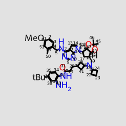 COc1ccc(CNc2ncnc3c2ccn3[C@@H]2C[C@H](CN(C3CCC3)C3CC(CCC(=O)Nc4ccc(C(C)(C)C)cc4N)C3)[C@H]3OC(C)(C)O[C@H]32)c(C)c1